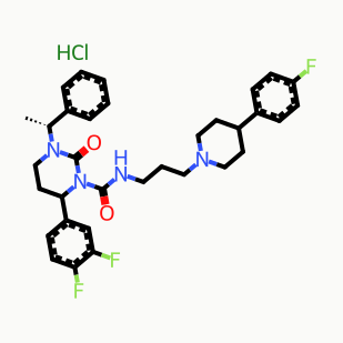 C[C@H](c1ccccc1)N1CCC(c2ccc(F)c(F)c2)N(C(=O)NCCCN2CCC(c3ccc(F)cc3)CC2)C1=O.Cl